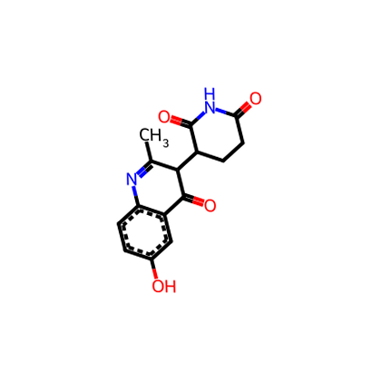 CC1=Nc2ccc(O)cc2C(=O)C1C1CCC(=O)NC1=O